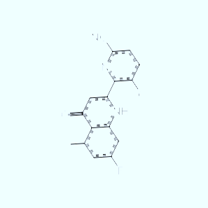 N#Cc1ccc(Cl)c(-c2cc(=O)c3c(F)cc(F)cc3[nH]2)n1